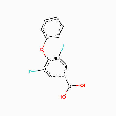 OB(O)c1cc(F)c(Oc2ccccc2)c(F)c1